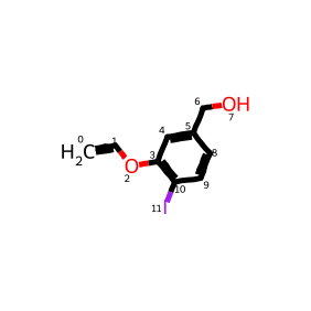 C=COc1cc(CO)ccc1I